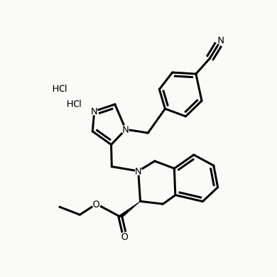 CCOC(=O)[C@@H]1Cc2ccccc2CN1Cc1cncn1Cc1ccc(C#N)cc1.Cl.Cl